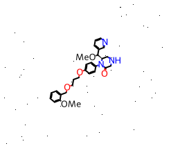 COc1ccccc1COCCCOc1ccc(N2C(=O)CNC[C@@H]2C(OC)c2cccnc2)cc1